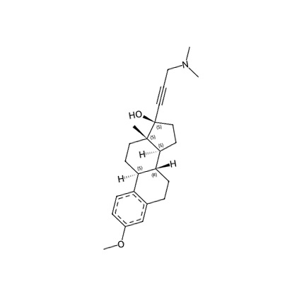 COc1ccc2c(c1)CC[C@@H]1[C@@H]2CC[C@@]2(C)[C@H]1CC[C@@]2(O)C#CCN(C)C